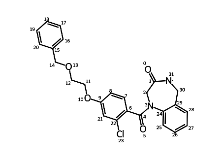 O=C1CN(C(=O)c2ccc(OCCOCc3ccccc3)cc2Cl)c2ccccc2C[N]1